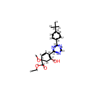 CCOC(=O)C1(OC)C=CC(c2ncnc(-c3ccc(C(C)(C)C)cc3)n2)=C(O)C1